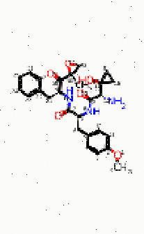 COc1ccc(C[C@H](NC(=O)[C@@H](N)C2(O)CC2)C(=O)N[C@@H](Cc2ccccc2)C(=O)[C@@]2(C)CO2)cc1